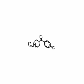 O=CN1CCC(C(=O)c2ccc(F)cc2)CC1